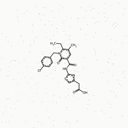 CCc1c(C)cc(C(=O)Nc2nc(CC(=O)O)cs2)c(=O)n1Cc1ccc(Cl)cc1